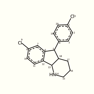 Clc1ccc(C2c3cc(Cl)ccc3C3NCCCC32)cc1